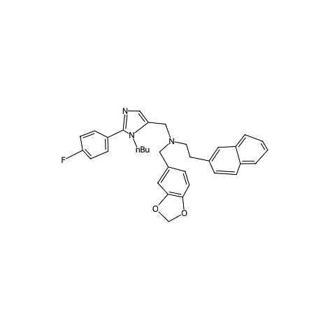 CCCCn1c(CN(CCc2ccc3ccccc3c2)Cc2ccc3c(c2)OCO3)cnc1-c1ccc(F)cc1